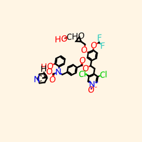 O=C(OC(Cc1c(Cl)c[n+]([O-])cc1Cl)c1ccc(OC(F)F)c(OCC2CC2)c1)c1ccc(CN(C(=O)O[C@H]2CN3CCC2CC3)c2ccccc2O)cc1.O=CO